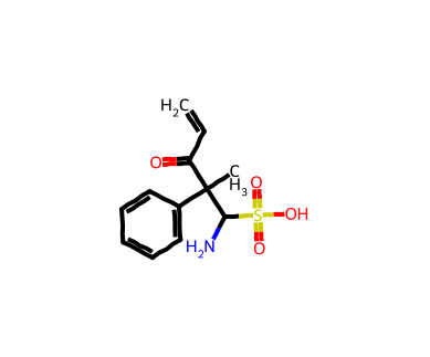 C=CC(=O)C(C)(c1ccccc1)C(N)S(=O)(=O)O